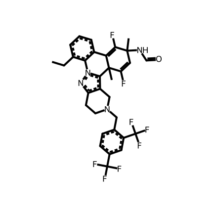 CCc1cccc2c1-n1nc3c(c1C1(C)C(F)=CC(C)(NC=O)C(F)=C21)CN(Cc1ccc(C(F)(F)F)cc1C(F)(F)F)CC3